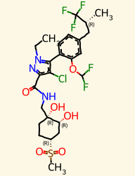 CCn1nc(C(=O)NC[C@]2(O)CC[C@@H](S(C)(=O)=O)C[C@H]2O)c(Cl)c1-c1ccc(C[C@@H](C)C(F)(F)F)cc1OC(F)F